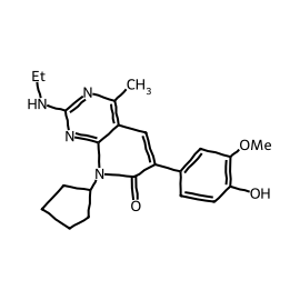 CCNc1nc(C)c2cc(-c3ccc(O)c(OC)c3)c(=O)n(C3CCCC3)c2n1